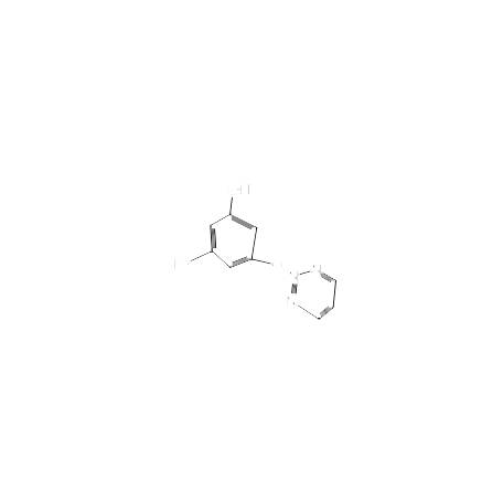 Oc1cc(O)cc(O)c1.c1cnnnc1